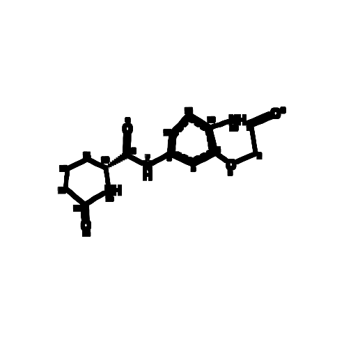 O=C1COc2cc(NC(=O)[C@H]3CCCC(=O)N3)ccc2N1